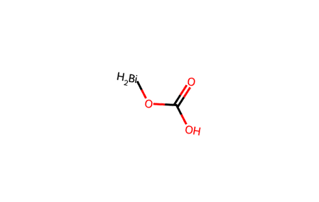 O=C(O)[O][BiH2]